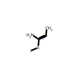 C/C=C(\N)SI